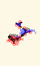 C=CC(=O)N1CN(C(=O)C=C)CN(C(=O)CCSCC(=O)N[C@H](C(=O)N[C@@H](CCCNC(N)=O)C(=O)Nc2ccc(COC(=O)N[C@H]3C[C@@H](O[C@H]4C[C@](O)(C(=O)CO)Cc5c(O)c6c(c(O)c54)C(=O)c4c(OC)cccc4C6=O)O[C@@H](C)[C@@H]3O)cc2)C(C)C)C1